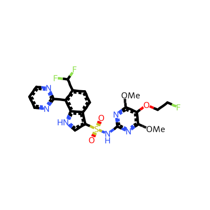 COc1nc(NS(=O)(=O)c2c[nH]c3c(-c4ncccn4)c(C(F)F)ccc23)nc(OC)c1OCCF